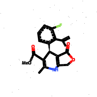 C=C(C)c1c(F)cccc1[C@H]1C(C(=O)OC)=C(C)NC2=C1C(=O)OC2